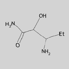 CCC(N)C(O)C(N)=O